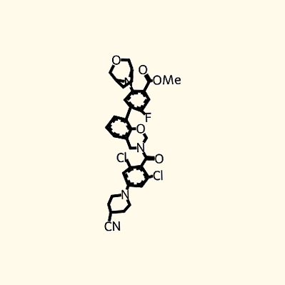 COC(=O)c1cc(F)c(-c2cccc3c2OCN(C(=O)c2c(Cl)cc(N4CCC(C#N)CC4)cc2Cl)C3)cc1N1C2CCC1COC2